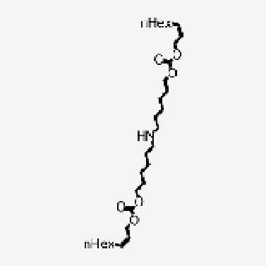 CCCCCC/C=C\COC(=O)OCCCCCCNCCCCCCOC(=O)OC/C=C\CCCCCC